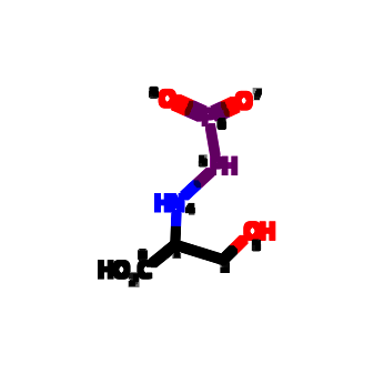 O=C(O)C(CO)NPP(=O)=O